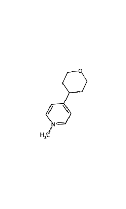 C[n+]1ccc(C2CCOCC2)cc1